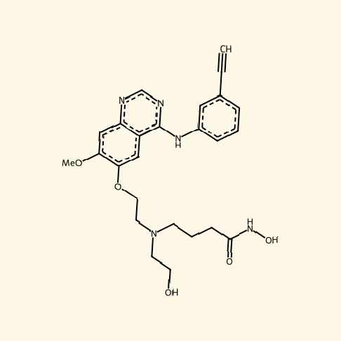 C#Cc1cccc(Nc2ncnc3cc(OC)c(OCCN(CCO)CCCC(=O)NO)cc23)c1